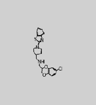 Clc1ccc2c(c1)OC(CNCC1CCN(c3nc4ccccc4s3)CC1)CO2